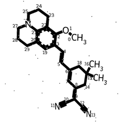 COc1c(/C=C/C2=CC(=C(C#N)C#N)CC(C)(C)C2)cc2c3c1CCCN3CCC2